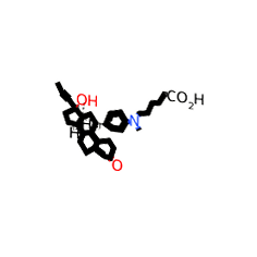 CC#C[C@]1(O)CC[C@H]2[C@@H]3CCC4=CC(=O)CCC4=C3[C@@H](c3ccc(N(C)CCCCCC(=O)O)cc3)C[C@@]21C